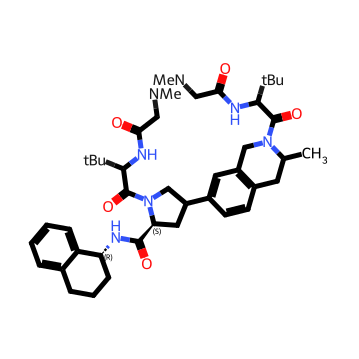 CNCC(=O)NC(C(=O)N1Cc2cc(C3C[C@@H](C(=O)N[C@@H]4CCCc5ccccc54)N(C(=O)C(NC(=O)CNC)C(C)(C)C)C3)ccc2CC1C)C(C)(C)C